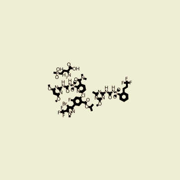 CC(C)OC(=O)c1cc(-c2nn(C)c(C(F)(F)F)c2Br)c(F)cc1Cl.COc1cc(OC)nc(NC(=O)NS(=O)(=O)c2ncccc2C(=O)N(C)C)n1.COc1nc(C)nc(NC(=O)NS(=O)(=O)c2ccccc2CCC(F)(F)F)n1.CP(=O)(O)CCC(N)C(=O)O